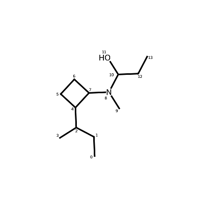 CCC(C)C1CCC1N(C)C(O)CC